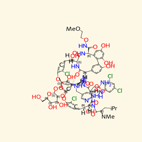 CN[C@H](CC(C)C)C(=O)N[C@H]1C(=O)N[C@@H](CC(N)=O)C(=O)N[C@H]2C(=O)N[C@H]3C(=O)N[C@H](C(=O)N[C@@H](C(=O)NOCCOC)c4cc(O)cc(O)c4-c4cc3ccc4O)[C@H](O)c3ccc(c(Cl)c3)Oc3cc2cc(c3O[C@@H]2O[C@H](CO)[C@@H](O)[C@H](O)[C@H]2O[C@H]2C[C@](C)(NCc3cncc(C(=O)Nc4cc(Cl)cc(Cl)c4)c3)[C@H](O)[C@H](C)O2)Oc2ccc(cc2Cl)[C@H]1O